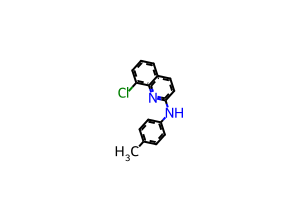 Cc1ccc(Nc2ccc3cccc(Cl)c3n2)cc1